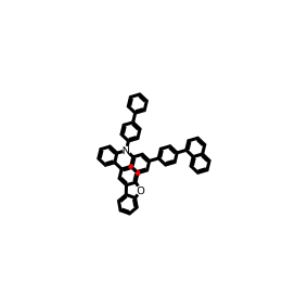 c1ccc(-c2ccc(N(c3cccc(-c4ccc(-c5cccc6ccccc56)cc4)c3)c3ccccc3-c3ccc4oc5ccccc5c4c3)cc2)cc1